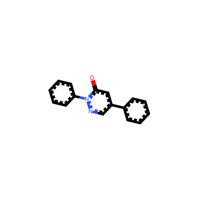 O=c1cc(-c2ccccc2)cnn1-c1ccccc1